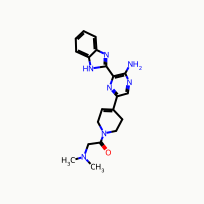 CN(C)CC(=O)N1CC=C(c2cnc(N)c(-c3nc4ccccc4[nH]3)n2)CC1